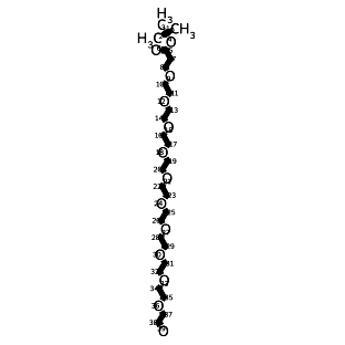 CC(C)(C)OC(=O)CCOCCOCCOCCOCCOCCOCCOCCOCCOCCOCC=O